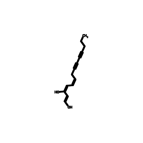 CCCC#CC#CC/C=C\C=C(\O)C=CO